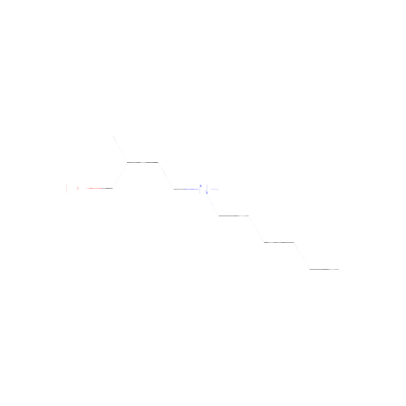 CCCCCCNCCC(C)CO